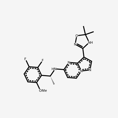 COc1ccc(F)c(F)c1[C@@H](C)Nc1ccn2ncc(C3=NOC(C)(C)N3)c2n1